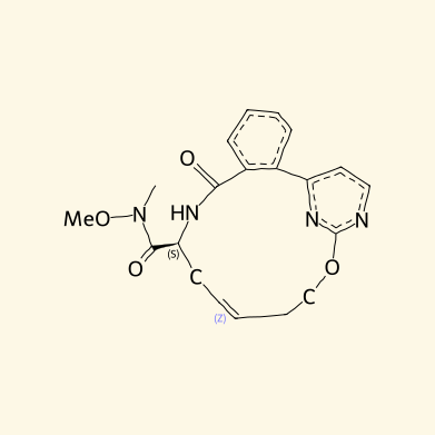 CON(C)C(=O)[C@@H]1C/C=C\CCOc2nccc(n2)-c2ccccc2C(=O)N1